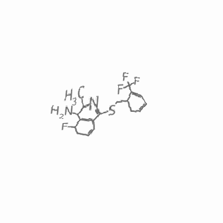 CC1N=C(SCC2CC=CC=C2C(F)(F)F)C2=C(C(F)CC=C2)[C@H]1N